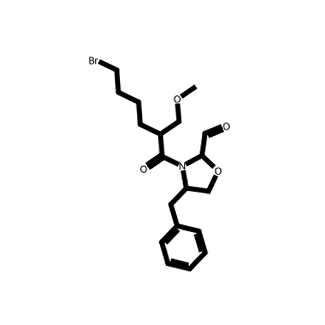 COCC(CCCCBr)C(=O)N1C(Cc2ccccc2)COC1C=O